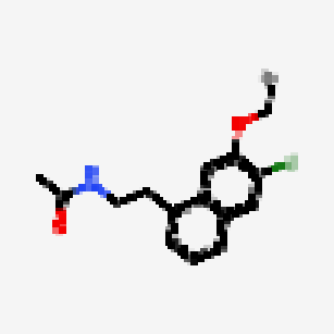 [2H]COc1cc2c(CCNC(C)=O)cccc2cc1Cl